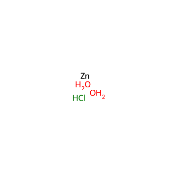 Cl.O.O.[Zn]